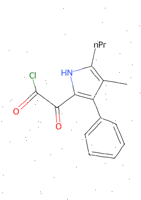 CCCc1[nH]c(C(=O)C(=O)Cl)c(-c2ccccc2)c1C